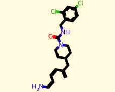 C=C(/C=C\C=C/N)CC1CCN(C(=O)NCc2ccc(Cl)cc2Cl)CC1